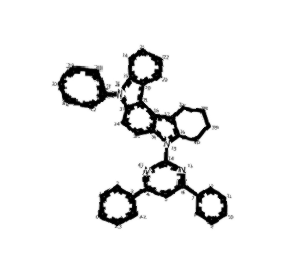 c1ccc(-c2cc(-c3ccccc3)nc(-n3c4c(c5c6c7ccccc7n(-c7ccccc7)c6ccc53)CCCC4)n2)cc1